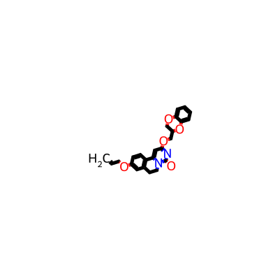 C=CCOc1ccc2c(c1)CCn1c-2cc(OCC2COc3ccccc3O2)nc1=O